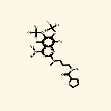 [2H]c1c(OC([2H])([2H])[2H])c(OC([2H])([2H])[2H])c(C)c2c(N([2H])[2H])nc(N(C)CCCN([2H])C(=O)C3CCCO3)nc12